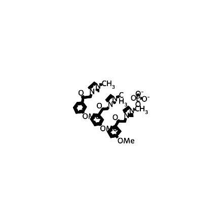 COc1cccc(C(=O)C[n+]2ccn(C)c2)c1.COc1cccc(C(=O)C[n+]2ccn(C)c2)c1.COc1cccc(C(=O)C[n+]2ccn(C)c2)c1.O=P([O-])([O-])[O-]